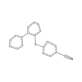 N#Cc1ccc(Sc2ccccc2-c2ccccc2)cc1